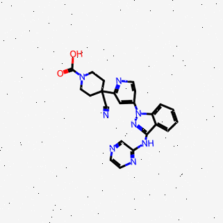 N#CC1(c2cc(-n3nc(Nc4cnccn4)c4ccccc43)ccn2)CCN(C(=O)O)CC1